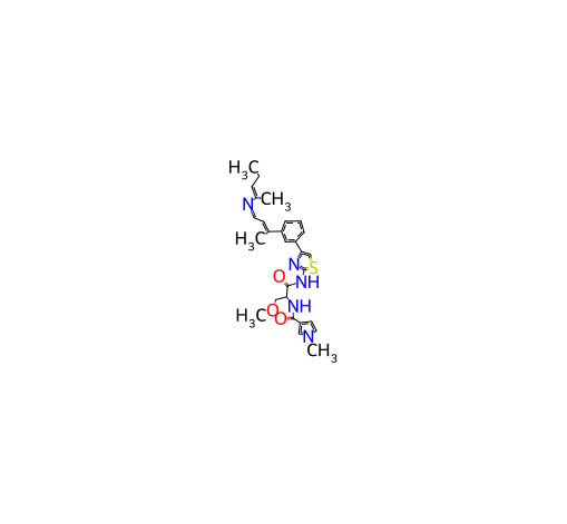 CC/C=C(C)/N=C\C=C(/C)c1cccc(-c2csc(NC(=O)C(COC)NC(=O)c3ccn(C)c3)n2)c1